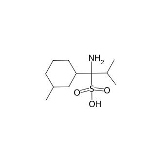 CC1CCCC(C(N)(C(C)C)S(=O)(=O)O)C1